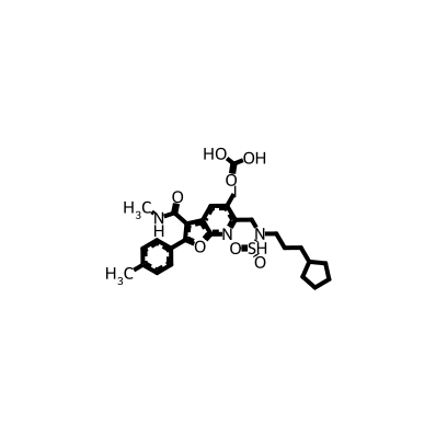 CNC(=O)c1c(-c2ccc(C)cc2)oc2nc(CN(CCCC3CCCC3)[SH](=O)=O)c(I)cc12.O=C(O)O